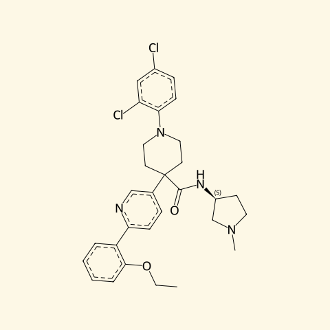 CCOc1ccccc1-c1ccc(C2(C(=O)N[C@H]3CCN(C)C3)CCN(c3ccc(Cl)cc3Cl)CC2)cn1